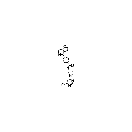 O=C(N[C@H]1CCN(c2cc(Cl)ncn2)C1)c1ccc(-c2nccc3occc23)cc1